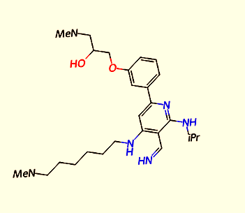 CNCCCCCCNc1cc(-c2cccc(OCC(O)CNC)c2)nc(NC(C)C)c1C=N